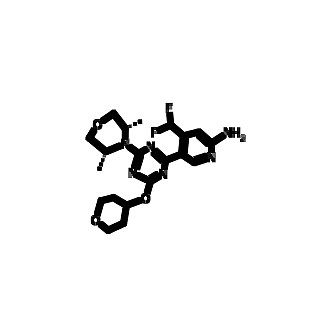 C[C@@H]1COC[C@H](C)N1c1nc(OC2CCOCC2)nc(-c2cnc(N)cc2C(F)F)n1